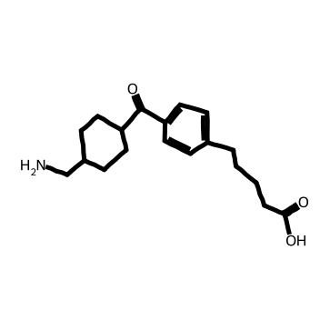 NCC1CCC(C(=O)c2ccc(CCCCC(=O)O)cc2)CC1